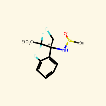 CCOC(=O)C(F)(F)[C@](CF)(N[S+]([O-])C(C)(C)C)c1ccccc1F